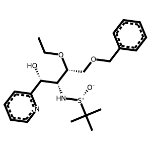 CCO[C@H](COCc1ccccc1)[C@H](N[S@+]([O-])C(C)(C)C)[C@@H](O)c1ccccn1